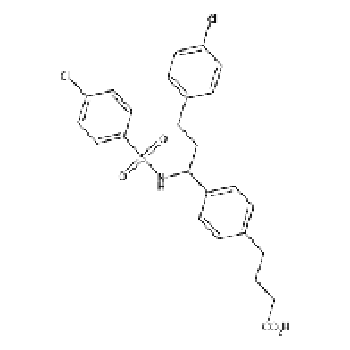 O=C(O)CCCc1ccc(C(CCc2ccc(Cl)cc2)NS(=O)(=O)c2ccc(Cl)cc2)cc1